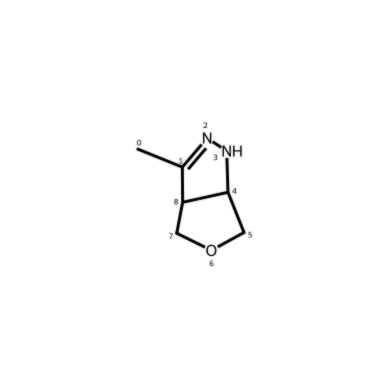 CC1=NNC2COCC12